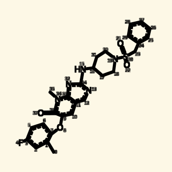 Cc1cc(F)ccc1Oc1cc2cnc(NC3CCN(S(=O)(=O)Cc4ccccc4)CC3)nc2n(C)c1=O